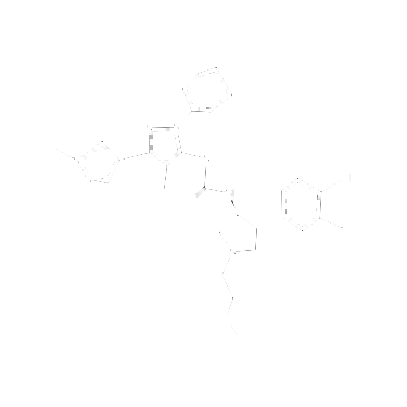 COCCN1C[C@@H](NC(=O)Nc2c(C)c(-c3cnn(C)c3)nn2-c2ccccc2)[C@H](c2ccc(Cl)c(F)c2)C1